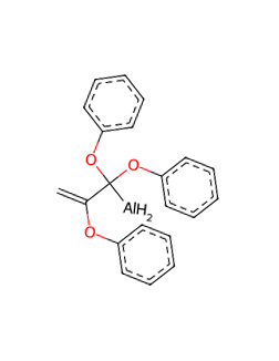 C=C(Oc1ccccc1)[C]([AlH2])(Oc1ccccc1)Oc1ccccc1